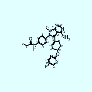 CCC(=O)Nc1ccc(-c2c(C3=CCC(Oc4ncc(F)cn4)CC3)c3c(N)ncnc3n2C)cc1